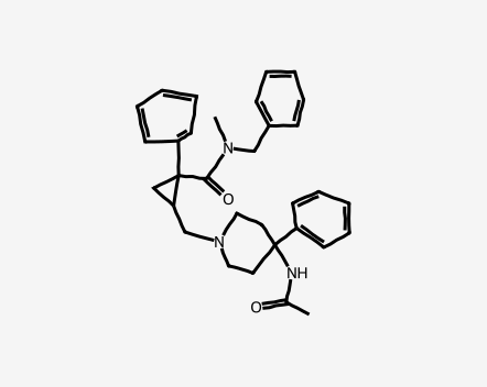 CC(=O)NC1(c2ccccc2)CCN(CC2CC2(C(=O)N(C)Cc2ccccc2)c2ccccc2)CC1